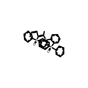 C/C=C\C(=C(/C)Oc1ccccc1P(=O)(c1ccccc1)c1ccccc1)P(=O)(c1ccccc1)c1ccccc1